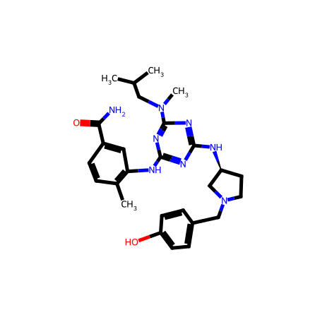 Cc1ccc(C(N)=O)cc1Nc1nc(N[C@H]2CCN(Cc3ccc(O)cc3)C2)nc(N(C)CC(C)C)n1